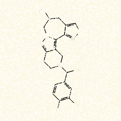 OC1Cc2conc2-c2c3c(nn2C1)CCN(C(O)c1ccc(Cl)c(Cl)c1)C3